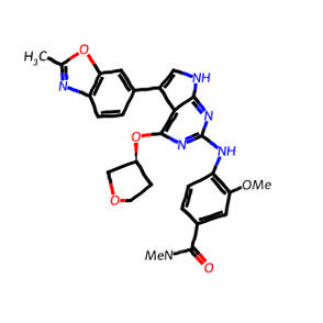 CNC(=O)c1ccc(Nc2nc(O[C@H]3CCOC3)c3c(-c4ccc5nc(C)oc5c4)c[nH]c3n2)c(OC)c1